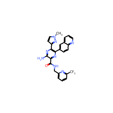 Cn1ccc(-c2nc(N)c(C(=O)NCc3cccc(C(F)(F)F)n3)nc2-c2ccc3ncccc3c2)n1